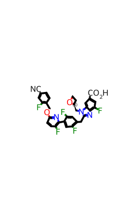 N#Cc1ccc(COc2ccc(F)c(-c3cc(F)c(Cc4nc5c(F)cc(C(=O)O)cc5n4C[C@@H]4CCO4)cc3F)n2)c(F)c1